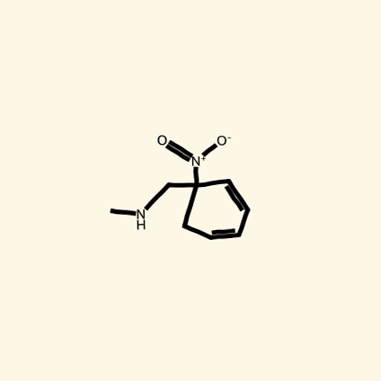 CNCC1([N+](=O)[O-])C=CC=CC1